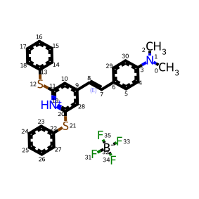 CN(C)c1ccc(/C=C/c2cc(Sc3ccccc3)[nH+]c(Sc3ccccc3)c2)cc1.F[B-](F)(F)F